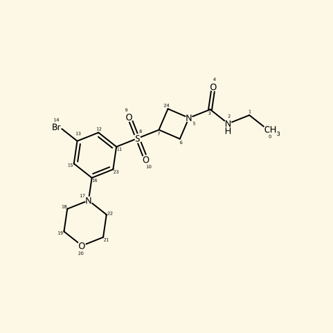 CCNC(=O)N1CC(S(=O)(=O)c2cc(Br)cc(N3CCOCC3)c2)C1